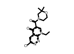 CCn1cc(C(=O)N2CCOC(C)(C)C2)c(=O)c2cc(Cl)nnc21